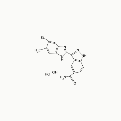 CCc1cc2nc(-c3n[nH]c4ccc(C(N)=O)cc34)[nH]c2cc1C.Cl.Cl